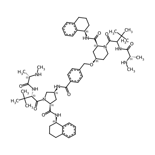 CN[C@@H](C)C(=O)NC(C(=O)N1CC[C@@H](OCc2ccc(C(=O)N[C@H]3C[C@@H](C(=O)N[C@@H]4CCCc5ccccc54)N(C(=O)[C@@H](NC(=O)[C@H](C)NC)C(C)(C)C)C3)cc2)C[C@H]1C(=O)N[C@@H]1CCCc2ccccc21)C(C)(C)C